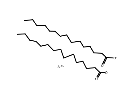 CCCCCCCCCCCCCCC(=O)[O-].CCCCCCCCCCCCCCC(=O)[O-].[Al+2]